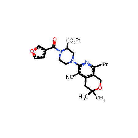 CCOC(=O)C1CN(c2nc(C(C)C)c3c(c2C#N)CC(C)(C)OC3)CCN1C(=O)c1ccoc1